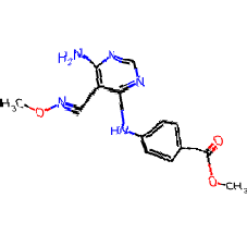 CON=Cc1c(N)ncnc1Nc1ccc(C(=O)OC)cc1